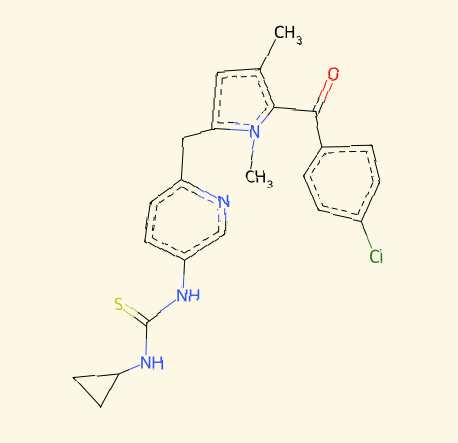 Cc1cc(Cc2ccc(NC(=S)NC3CC3)cn2)n(C)c1C(=O)c1ccc(Cl)cc1